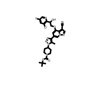 Cc1c(-c2cc(OCC(O)c3ncc(F)cc3Cl)c3c(C#N)cnn3c2)nnn1C1CCN(C(=O)OC(C)(C)C)CC1